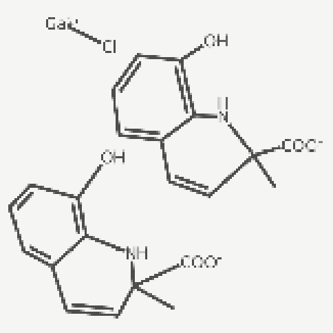 CC1(C(=O)[O-])C=Cc2cccc(O)c2N1.CC1(C(=O)[O-])C=Cc2cccc(O)c2N1.[Cl][Ga+2]